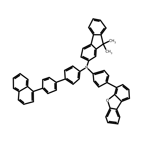 CC1(C)c2ccccc2-c2ccc(N(c3ccc(-c4ccc(-c5cccc6ccccc56)cc4)cc3)c3ccc(-c4cccc5c4oc4ccccc45)cc3)cc21